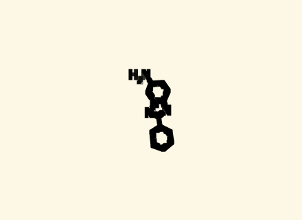 Nc1ccc2nc(-c3ccccc3)nn2c1